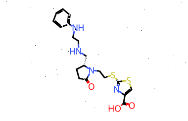 O=C(O)c1csc(SCCN2C(=O)CC[C@@H]2CNCCNc2ccccc2)n1